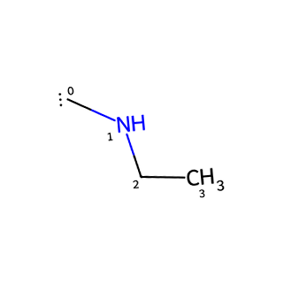 [C]NCC